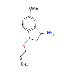 C=CCOC1CC(N)c2cc(OC)ccc21